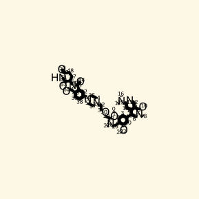 COc1cc(-c2cn(C)c(=O)c3cnc(N(C)C)cc23)cc(OC)c1CN(C)CCOCCN1CCN(c2ccc3c(c2)C(=O)N(C2CCC(=O)NC2=O)C3=O)CC1